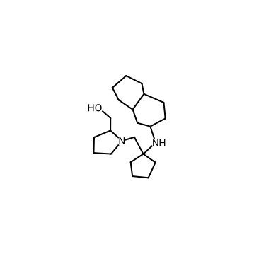 OCC1CCCN1CC1(NC2CCC3CCCCC3C2)CCCC1